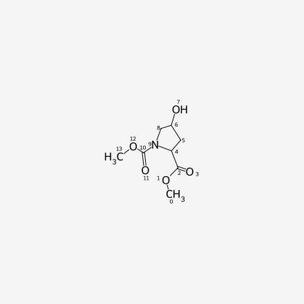 COC(=O)C1CC(O)CN1C(=O)OC